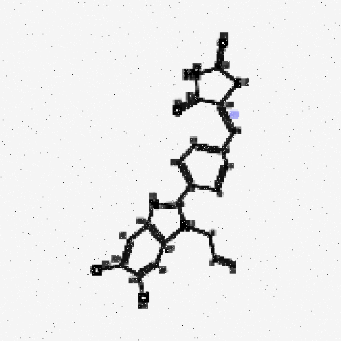 C=CCn1c(-c2ccc(/C=C3/SC(=O)NC3=O)cc2)nc2cc(Cl)c(Cl)cc21